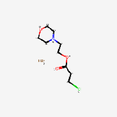 Br.O=C(CCCl)OCCN1CCOCC1